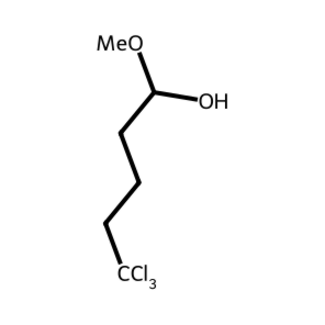 COC(O)CCCC(Cl)(Cl)Cl